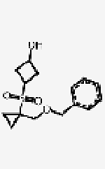 O=S(=O)(C1CC(O)C1)C1(COCc2ccccc2)CC1